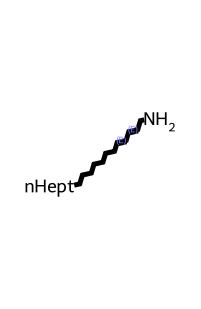 CCCCCCCCCCCCCC/C=C/C=C/CN